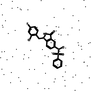 O=c1[nH]n(Cc2ccc(F)cc2Cl)c2ccc(N(Cl)S(=O)(=O)c3ccccc3)cc12